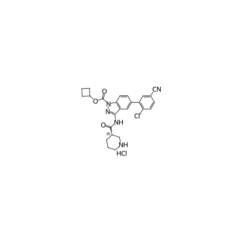 Cl.N#Cc1ccc(Cl)c(-c2ccc3c(c2)c(NC(=O)[C@@H]2CCCNC2)nn3C(=O)OC2CCC2)c1